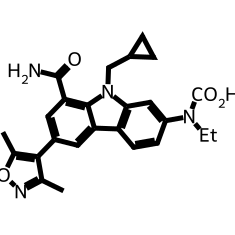 CCN(C(=O)O)c1ccc2c3cc(-c4c(C)noc4C)cc(C(N)=O)c3n(CC3CC3)c2c1